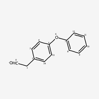 O=[C]Cc1ccc(Oc2ccccc2)cc1